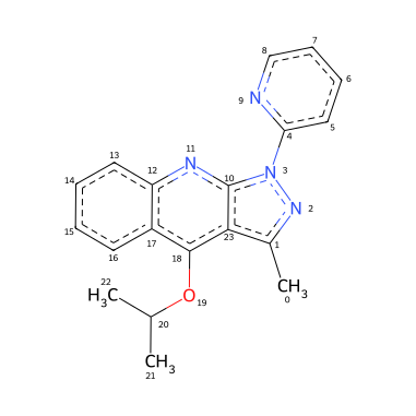 Cc1nn(-c2ccccn2)c2nc3ccccc3c(OC(C)C)c12